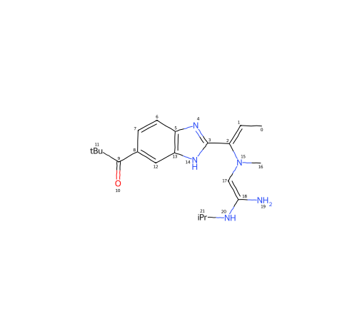 C/C=C(/c1nc2ccc(C(=O)C(C)(C)C)cc2[nH]1)N(C)/C=C(\N)NC(C)C